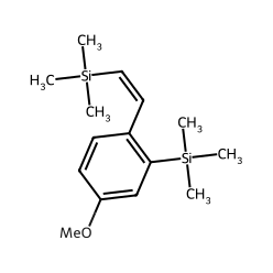 COc1ccc(/C=C\[Si](C)(C)C)c([Si](C)(C)C)c1